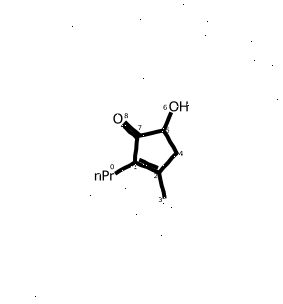 CCCC1=C(C)CC(O)C1=O